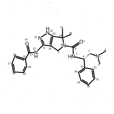 CN(C)C[C@@H](NC(=O)N1Cc2c(NC(=O)c3ccccc3)n[nH]c2C1(C)C)c1ccccc1